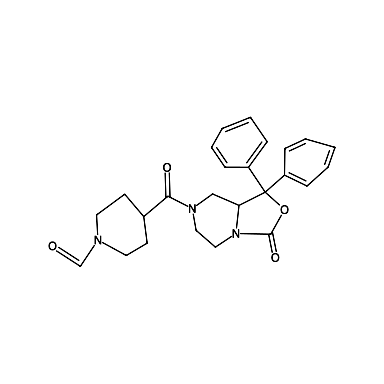 O=CN1CCC(C(=O)N2CCN3C(=O)OC(c4ccccc4)(c4ccccc4)C3C2)CC1